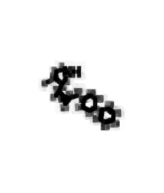 C[C@H]1CCNCC1C1C[C@]12CC2C[C@H]1CC[C@@H](c2ccccc2)CC1